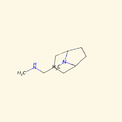 CNCC1CC2CCC(C1)N2C